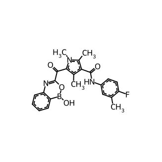 Cc1cc(NC(=O)c2c(C)c(C(=O)C3=Nc4ccccc4B(O)O3)n(C)c2C)ccc1F